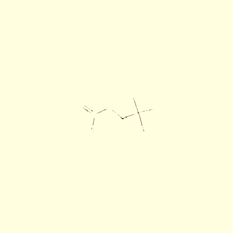 CC(C)(C)COS(=O)Cl